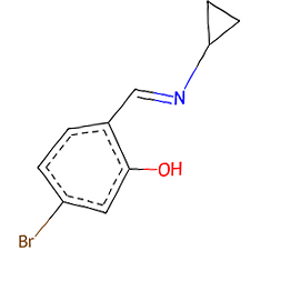 Oc1cc(Br)ccc1C=NC1CC1